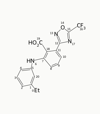 CCc1cccc(Nc2cccc(-c3noc(C(F)(F)F)n3)c2C(=O)O)c1